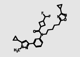 Cn1nc(-c2cccc(N(CCCCCc3nc(C4CC4)no3)C(=O)C3CC(C(F)F)C3)c2)cc1C1CC1